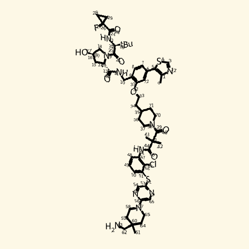 Cc1ncsc1-c1ccc(CNC(=O)[C@@H]2C[C@@H](O)CN2C(=O)[C@@H](NC(=O)C2(F)CC2)C(C)(C)C)c(OCCC2CCN(C(=O)C(C)(C)C(=O)Nc3cccc(Sc4cnc(N5CCC(C)(CN)CC5)cn4)c3Cl)CC2)c1